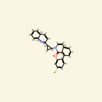 O=c1c2c(-c3ccc(F)cc3)cccc2ccn1C1CC1c1ccc2ccccc2n1